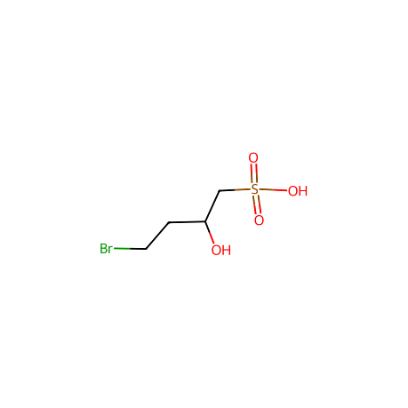 O=S(=O)(O)CC(O)CCBr